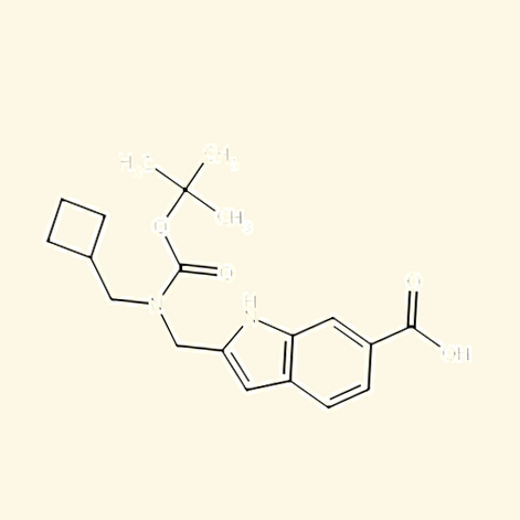 CC(C)(C)OC(=O)N(Cc1cc2ccc(C(=O)O)cc2[nH]1)CC1CCC1